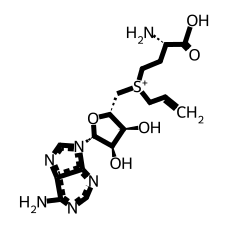 C=CC[S+](CC[C@H](N)C(=O)O)C[C@H]1O[C@@H](n2cnc3c(N)ncnc32)[C@H](O)[C@@H]1O